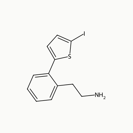 NCCc1ccccc1-c1ccc(I)s1